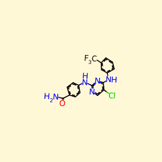 NC(=O)c1ccc(Nc2ncc(Cl)c(Nc3cccc(C(F)(F)F)c3)n2)cc1